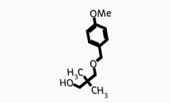 COc1ccc(COCC(C)(C)CO)cc1